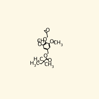 CCC(C)(C)C(=O)OCc1cc(OC)c(OCC2CO2)c(OC)c1